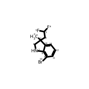 CC1(CC(F)F)CNc2c(Br)cccc21